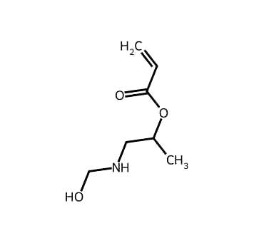 C=CC(=O)OC(C)CNCO